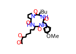 CCC(C)C1NC(=O)C(Cc2ccc(OC)cc2)NC(=O)C(CCCCCC(=O)C2CO2)NC(=O)C2CCCN2C1=O